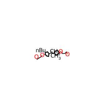 CCCCc1cc(C(C)(C)c2ccc(OCC3CO3)cc2)ccc1OCC1CO1